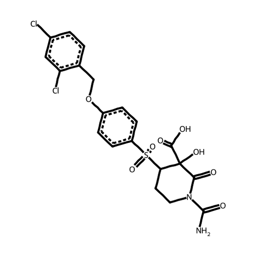 NC(=O)N1CCC(S(=O)(=O)c2ccc(OCc3ccc(Cl)cc3Cl)cc2)C(O)(C(=O)O)C1=O